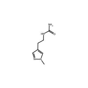 Cn1cc(CCNC(N)=O)cn1